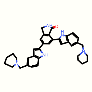 O=C1NCc2cc(-c3cc4cc(CN5CCCCC5)ccc4[nH]3)cc(-c3cc4cc(CN5CCCCC5)ccc4[nH]3)c21